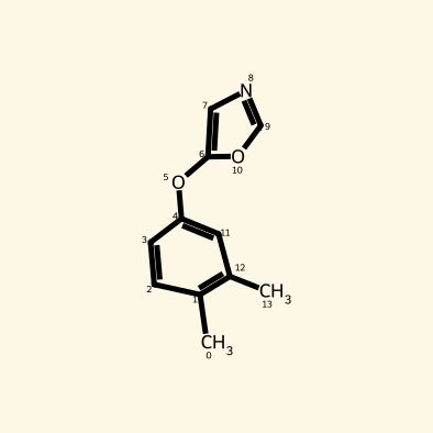 Cc1ccc(Oc2cn[c]o2)cc1C